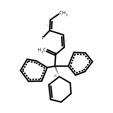 C=C(/C=C\C(I)=C/C)C(c1ccccc1)(c1ccccc1)[C@H]1C=CCCC1